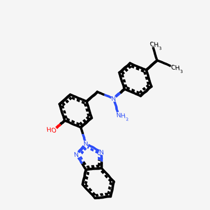 CC(C)c1ccc(N(N)Cc2ccc(O)c(-n3nc4ccccc4n3)c2)cc1